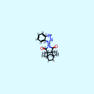 O=C1[C@@H]2[C@@H]3CC[C@@H](C3)[C@@H]2C(=O)N1n1nnc2ccccc21